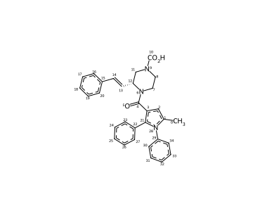 Cc1cc(C(=O)N2CCN(C(=O)O)C[C@H]2/C=C/c2ccccc2)c(-c2ccccc2)n1-c1ccccc1